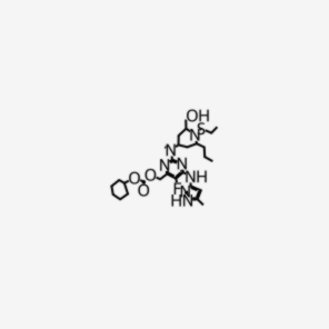 CCCC1CC(N(C)c2nc(COC(=O)OC3CCCCC3)c(F)c(Nc3cc(C)[nH]n3)n2)CC(CO)N1SCC